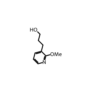 COc1ncccc1CCCO